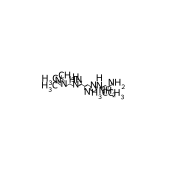 CC(C)C(=C/N)/C=C(\N)Nc1ccc2ncc(/C(C=N)=C/NCCCN3CC(C)N(C)[C@H](C)C3)cc2n1